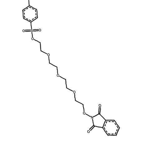 Cc1ccc(S(=O)(=O)OCCOCCOCCOCCON2C(=O)c3ccccc3C2=O)cc1